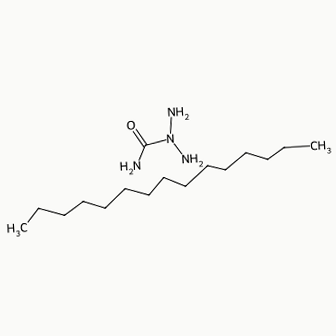 CCCCCCCCCCCCCCC.NC(=O)N(N)N